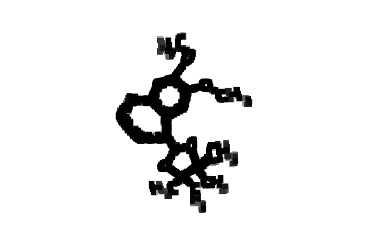 COc1cc2nccc(B3OC(C)(C)C(C)(C)O3)c2cc1OC